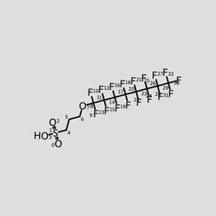 O=S(=O)(O)CCCOC(F)(F)C(F)(F)C(F)(F)C(F)(F)C(F)(F)C(F)(F)C(F)(F)C(F)(F)F